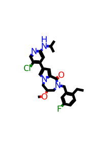 CCc1ccc(F)cc1CN1CC(OC)Cn2cc(-c3cc(NC(C)C)ncc3Cl)cc2C1=O